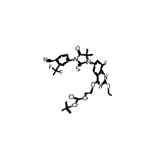 CCOc1nc(OCCOC(=O)OC(C)(C)C)c2cc(N3C(=S)N(c4ccc(C#N)c(C(C)(F)F)c4)C(=O)C3(C)C)cc(F)c2n1